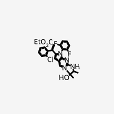 CCOC(=O)C=C(c1ccccc1Cl)c1cc2cnc(NC(C)C(C)(C)O)nc2n1-c1c(F)cccc1F